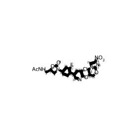 CC(=O)NCC1CN(c2ccc(-c3cnc(OC4COc5nc([N+](=O)[O-])cn5C4)c(C)c3)c(F)c2)C(=O)O1